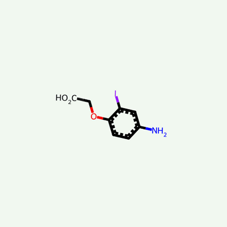 Nc1ccc(OCC(=O)O)c(I)c1